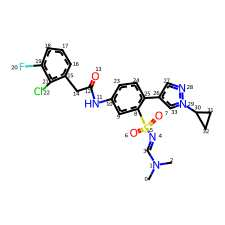 CN(C)C=NS(=O)(=O)c1cc(NC(=O)Cc2cccc(F)c2Cl)ccc1-c1cnn(C2CC2)c1